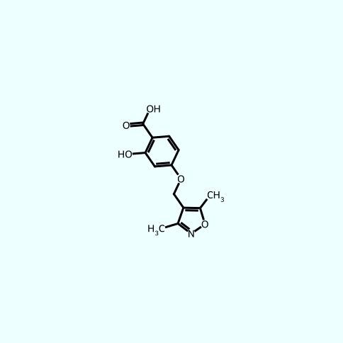 Cc1noc(C)c1COc1ccc(C(=O)O)c(O)c1